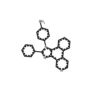 Bc1ccc(-n2c(-c3ccccc3)nc3c4cnccc4c4ccccc4c32)cc1